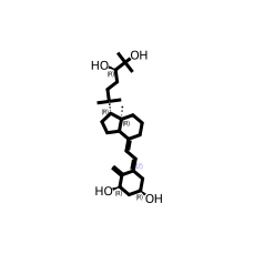 C=C1/C(=C\C=C2CCC[C@@]3(C)C2CC[C@@H]3C(C)(C)CC[C@@H](O)C(C)(C)O)C[C@@H](O)C[C@H]1O